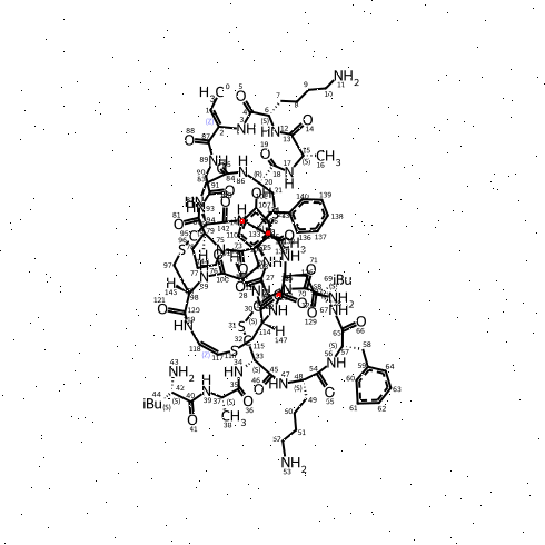 C/C=C(\NC(=O)[C@H](CCCCN)NC(=O)[C@H](C)NC(=O)[C@@H]1CS[C@@H](C)[C@@H](NC(=O)[C@@H]2CSC[C@@H](NC(=O)[C@H](C)NC(=O)[C@@H](N)[C@@H](C)CC)C(=O)N[C@@H](CCCCN)C(=O)N[C@@H](Cc3ccccc3)C(=O)N[C@@H]([C@@H](C)CC)C(=O)N2)C(=O)N2CCC[C@H]2C(=O)NCC(=O)N1)C(=O)NCC(=O)N[C@@H]1CSC[C@@H]2NC(=O)[C@H](Cc3ccc(O)cc3)NC(=O)[C@@H](CS/C=C\NC2=O)NC(=O)[C@H](CC(N)=O)NC(=O)[C@H](Cc2ccccc2)NC1=O